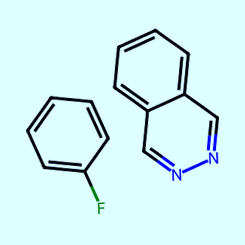 Fc1ccccc1.c1ccc2cnncc2c1